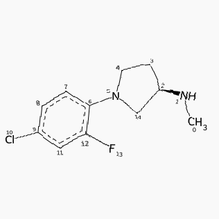 CN[C@@H]1CCN(c2ccc(Cl)cc2F)C1